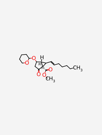 CCCCCC=CC1[C@H]2C(OC3CCCCO3)CC(=O)[C@]12C(=O)OC